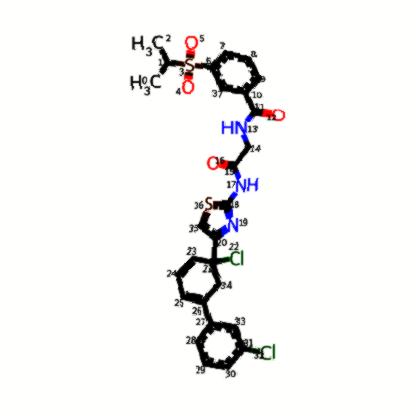 CC(C)S(=O)(=O)c1cccc(C(=O)NCC(=O)Nc2nc(C3(Cl)C=CC=C(c4cccc(Cl)c4)C3)cs2)c1